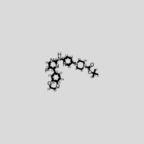 CC(C)(C)OC(=O)N1CCN(c2ccc(Nc3ncc(F)c(-c4ccc5c(c4)OCCO5)n3)nc2)CC1